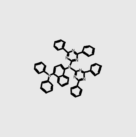 c1ccc(-c2nc(-c3ccccc3)nc(N(c3nc(-c4ccccc4)nc(-c4ccccc4)n3)c3ccc(N(c4ccccc4)c4ccccc4)c4ccccc34)n2)cc1